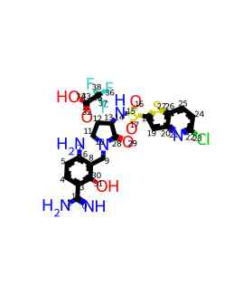 N=C(N)c1ccc(N)c(CN2CCC(NS(=O)(=O)c3cc4nc(Cl)ccc4s3)C2=O)c1O.O=C(O)C(F)(F)F